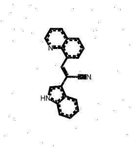 N#C/C(=C\c1cccc2cccnc12)c1c[nH]c2ccccc12